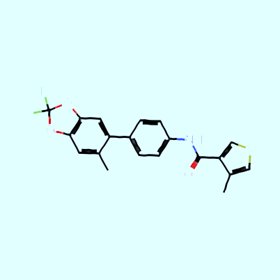 Cc1cscc1C(=O)Nc1ccc(-c2cc3c(cc2C)OC(F)(F)O3)cc1